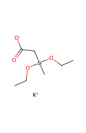 CCO[Si](C)(CC(=O)[O-])OCC.[K+]